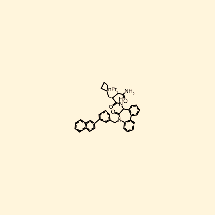 CCC[C@H](C(N)=O)[C@@H](CC1CCC1)C(=O)NC1C(=O)N(Cc2cccc(-c3ccc4ccccc4c3)c2)c2ccccc2-c2ccccc21